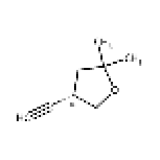 C#C[C@H]1COC(C)(C)C1